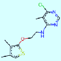 Cc1csc(OCCNc2ncnc(Cl)c2C)c1C